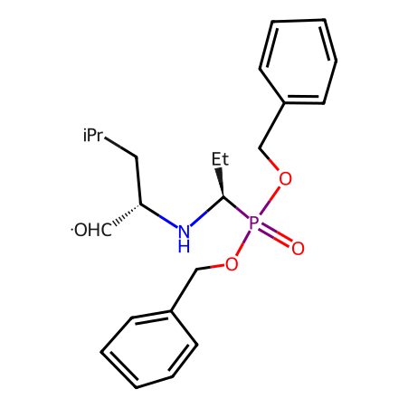 CC[C@H](N[C@H]([C]=O)CC(C)C)P(=O)(OCc1ccccc1)OCc1ccccc1